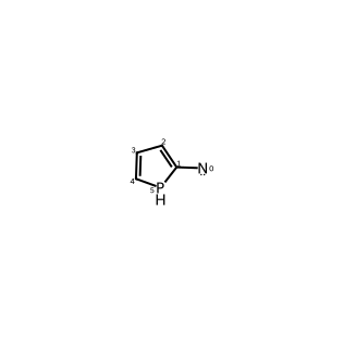 [N]c1ccc[pH]1